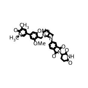 COc1cc(-c2cc(C)c(=O)n(C)c2)cc(OC)c1CN1CCC2CN(c3ccc4c(c3)C(=O)N(C3CCC(=O)NC3=O)C4=O)C21